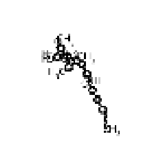 CCCCCC1CCC(c2ccc(-c3ccc(C(=O)Nc4ccc(-c5ccc6c(c5)-c5c(c7c(c8cc(C)ccc58)OC(c5ccc(OC)cc5)(c5ccc(OC(F)(F)F)cc5)C=C7)C6(C)C)cc4)cc3)cc2)CC1